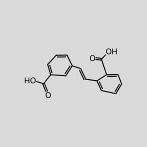 O=C(O)c1cccc(C=Cc2ccccc2C(=O)O)c1